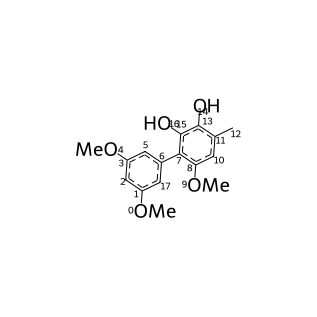 COc1cc(OC)cc(-c2c(OC)cc(C)c(O)c2O)c1